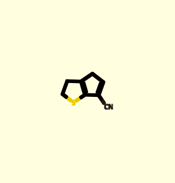 N#CC1=CCC2=C1SCC2